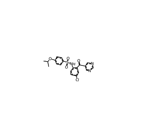 CC(C)Oc1ccc(S(=O)(=O)Nc2ccc(Cl)cc2C(=O)c2cncnc2)cc1